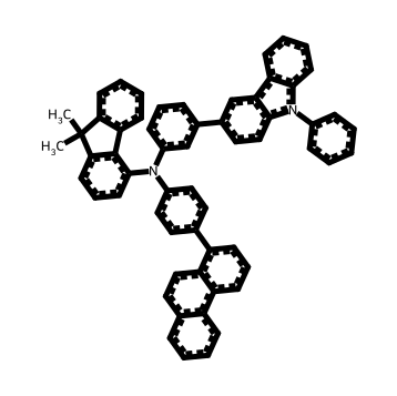 CC1(C)c2ccccc2-c2c(N(c3ccc(-c4cccc5c4ccc4ccccc45)cc3)c3cccc(-c4ccc5c(c4)c4ccccc4n5-c4ccccc4)c3)cccc21